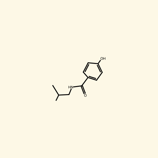 CC(C)CNC(=O)c1ccc(O)cc1